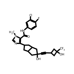 Cn1cnc(C2CC3CC(O)(C#CC4CC(O)(C(F)(F)F)C4)CC3C2)c1C(=O)Nc1ccc(F)c(Cl)c1